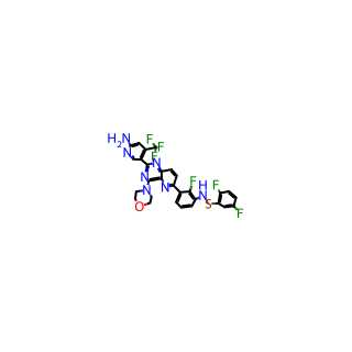 Nc1cc(C(F)(F)F)c(-c2nc(N3CCOCC3)c3nc(-c4cccc(NSc5cc(F)ccc5F)c4F)ccc3n2)cn1